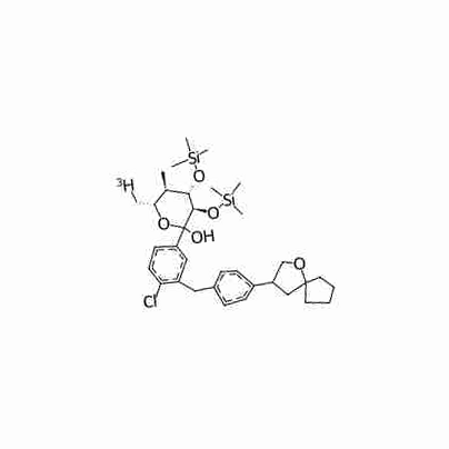 [3H]C[C@H]1OC(O)(c2ccc(Cl)c(Cc3ccc(C4COC5(CCCC5)C4)cc3)c2)[C@H](O[Si](C)(C)C)[C@@H](O[Si](C)(C)C)[C@@H]1C